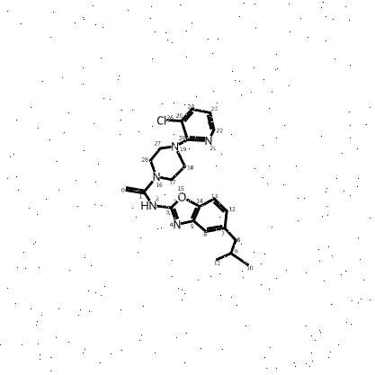 C=C(Nc1nc2cc(CC(C)C)ccc2o1)N1CCN(c2ncccc2Cl)CC1